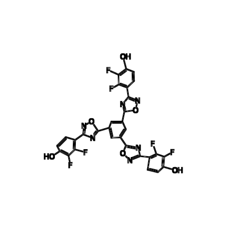 Oc1ccc(-c2noc(-c3cc(-c4nc(-c5ccc(O)c(F)c5F)no4)cc(-c4nc(-c5ccc(O)c(F)c5F)no4)c3)n2)c(F)c1F